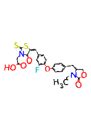 CCN1C(=O)OCC1Cc1ccc(Oc2ccc(/C=C3/SC(=S)N(CC(=O)O)C3=O)cc2F)cc1